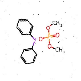 COP(=O)([O-])OC.c1ccc([I+]c2ccccc2)cc1